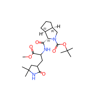 COC(=O)C(CC1CC(C)(C)NC1=O)NC(=O)[C@@H]1[C@H]2CCC[C@H]2CN1C(=O)OC(C)(C)C